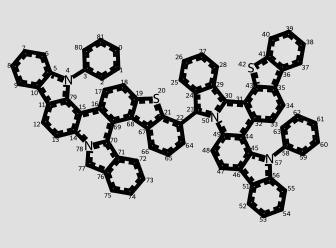 c1ccc(-n2c3ccccc3c3ccc4c(c5ccc6sc7c(-c8c9ccccc9c9c%10c(ccc%11c%12ccccc%12sc%11%10)c%10c%11c(ccc%10n89)c8ccccc8n%11-c8ccccc8)cccc7c6c5c5c6ccccc6cn45)c32)cc1